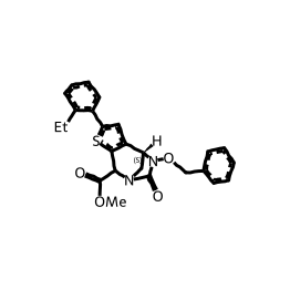 CCc1ccccc1-c1cc2c(s1)C(C(=O)OC)N1C[C@H]2N(OCc2ccccc2)C1=O